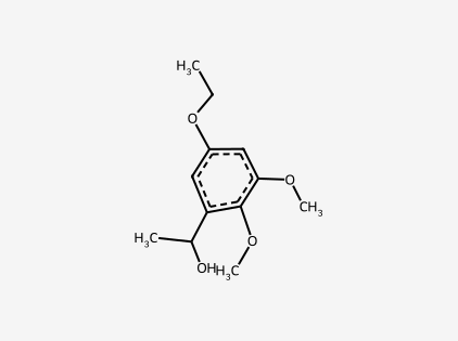 CCOc1cc(OC)c(OC)c(C(C)O)c1